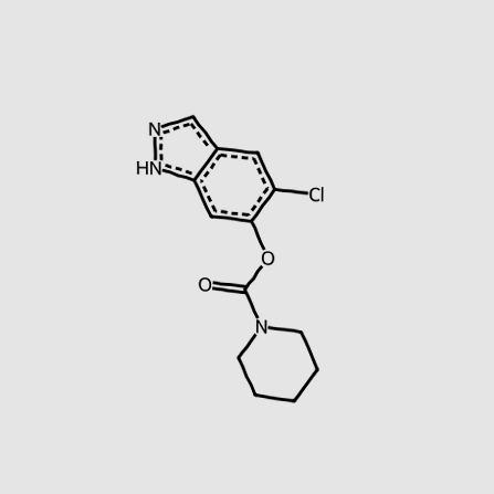 O=C(Oc1cc2[nH]ncc2cc1Cl)N1CCCCC1